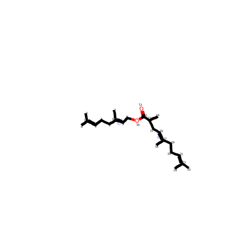 CC(C)=CCC/C(C)=C/COC(=O)C(C)C/C=C(\C)CCC=C(C)C